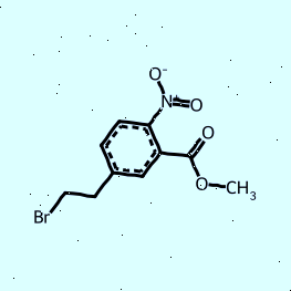 COC(=O)c1cc(CCBr)ccc1[N+](=O)[O-]